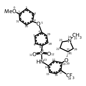 COc1ccc(Oc2ccc(S(=O)(=O)Nc3ccc(C(F)(F)F)c(O[C@@H]4CCN(C)C4)c3)cc2)cc1